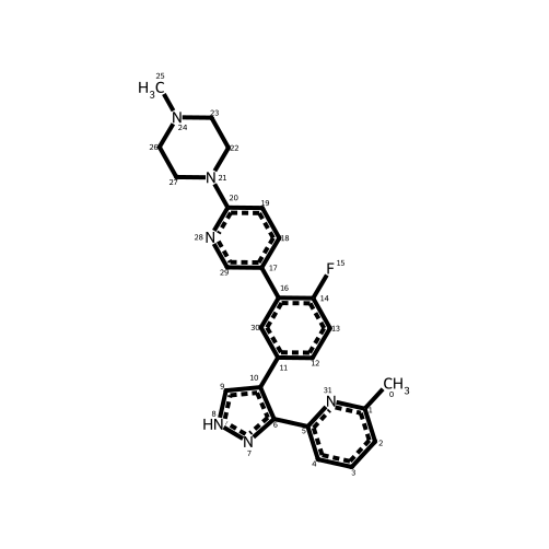 Cc1cccc(-c2n[nH]cc2-c2ccc(F)c(-c3ccc(N4CCN(C)CC4)nc3)c2)n1